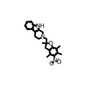 Cc1c(C)c([N+](=O)[O-])c(C)c2c1OC(C)(CN1CCc3c([nH]c4ccccc34)C1)C2